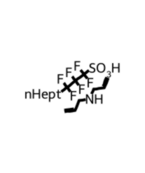 C=CCNCC=C.CCCCCCCC(F)(F)C(F)(F)C(F)(F)S(=O)(=O)O